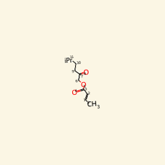 C/C=C/C(=O)OCC(=O)CCC(C)C